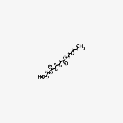 CCCOCCOC(=O)CCCCC(=O)OCCO